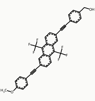 COc1ccc(C#Cc2ccc3c(C(F)(F)F)c4cc(C#Cc5ccc(CO)cc5)ccc4c(C(F)(F)F)c3c2)cc1